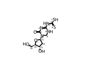 O=C1N=C(NC(=S)S)NCN1[C@H]1C[C@H](O)[C@@H](CO)O1